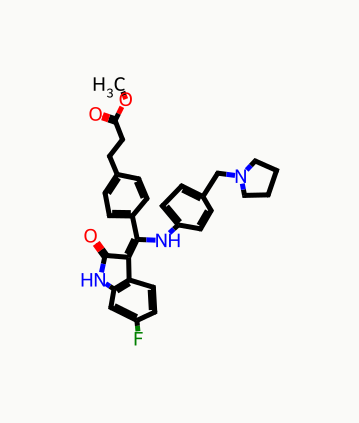 COC(=O)CCc1ccc(C(Nc2ccc(CN3CCCC3)cc2)=C2C(=O)Nc3cc(F)ccc32)cc1